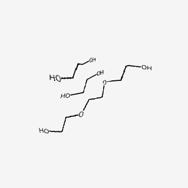 OCCO.OCCO.OCCOCCOCCO